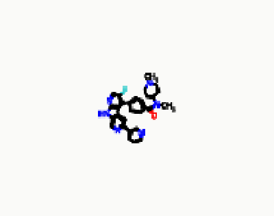 CN1CCC(N(C)C(=O)c2ccc(-c3c(F)cnc4[nH]c5cnc(-c6cccnc6)cc5c34)cc2)CC1